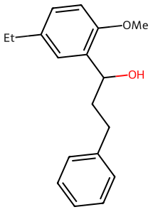 CCc1ccc(OC)c(C(O)CCc2ccccc2)c1